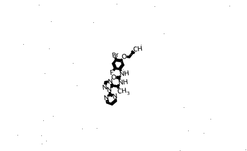 C#CCOc1cc(NC(=O)NC(C)c2ncnn2-c2ncccn2)c(F)cc1Br